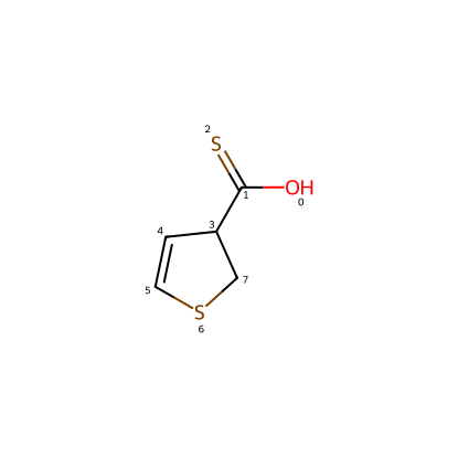 OC(=S)C1C=CSC1